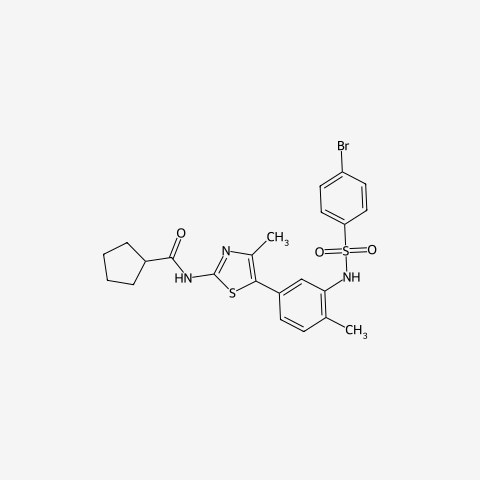 Cc1ccc(-c2sc(NC(=O)C3CCCC3)nc2C)cc1NS(=O)(=O)c1ccc(Br)cc1